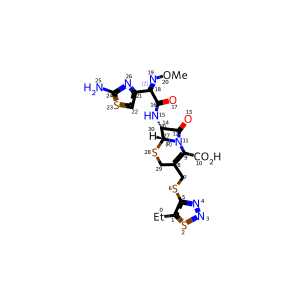 CCc1snnc1SCC1=C(C(=O)O)N2C(=O)[C@@H](NC(=O)/C(=N\OC)c3csc(N)n3)[C@H]2SC1